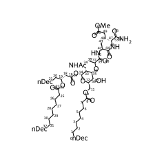 CCCCCCCCCCCCCCCCCC(=O)OC[C@H]1O[C@H](OC(=O)C[C@@H](CCCCCCCCCCC)OC(=O)CCCCCCCCCCCCCCCCC)[C@H](NC(C)=O)[C@H](OC(C)C(=O)N[C@@H](C)C(=O)N[C@H](CCC(=O)OC)C(N)=O)[C@@H]1O